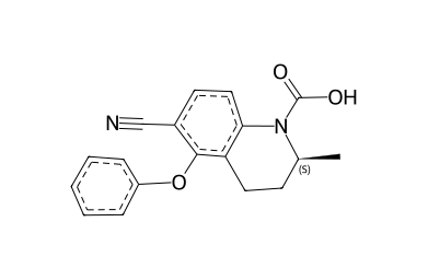 C[C@H]1CCc2c(ccc(C#N)c2Oc2ccccc2)N1C(=O)O